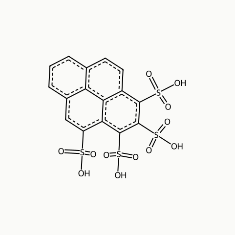 O=S(=O)(O)c1c(S(=O)(=O)O)c2ccc3cccc4cc(S(=O)(=O)O)c(c1S(=O)(=O)O)c2c34